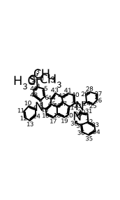 C[Si](C)(C)c1ccc(N(c2ccccc2)c2ccc3ccc4c(N(c5ccccc5)c5cc6ccccc6cn5)ccc5ccc2c3c54)cc1